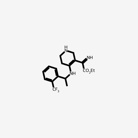 CCOC(=O)C(=N)C1=C(NC(C)c2ccccc2C(F)(F)F)CCNC1